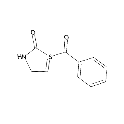 O=C1NCC=S1C(=O)c1ccccc1